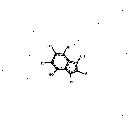 CC(C)c1c(C(C)C)n(O)c2c(O)c(O)c(O)c(O)c12